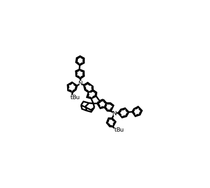 CC(C)(C)c1cccc(N(c2ccc(-c3ccccc3)cc2)c2ccc3cc4c(cc3c2)C2(c3cc5cc(N(c6ccc(-c7ccccc7)cc6)c6cccc(C(C)(C)C)c6)ccc5cc3-4)C3CC4CC(C3)CC2C4)c1